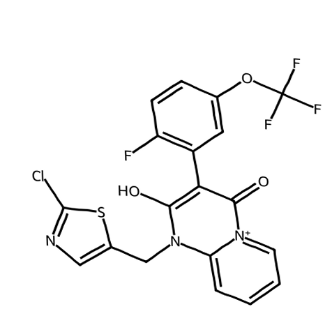 O=c1c(-c2cc(OC(F)(F)F)ccc2F)c(O)n(Cc2cnc(Cl)s2)c2cccc[n+]12